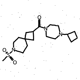 CS(=O)(=O)N1CCC2(CC1)CC(C(=O)N1CCN(C3CCC3)CC1)C2